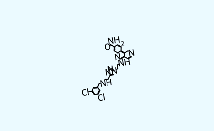 NC(=O)c1ccc2c(c1)nc(NCCn1cc(CCNCc3cc(Cl)cc(Cl)c3)nn1)c1ccncc12